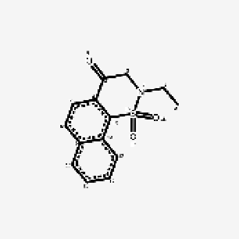 CCN1CC(=O)c2ccc3ccccc3c2S1(=O)=O